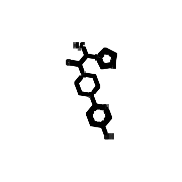 CC(C(=O)N1CCN(c2ccc(O)cn2)CC1)n1ccnc1